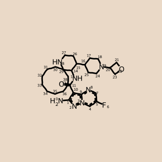 Nc1nn2cc(F)cnc2c1C(=O)NC1C(C2CCN(C3COC3)CC2)CCNC12CCCCCCCCC2